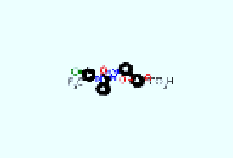 O=C(O)Oc1cccc(-c2cccc(NN=C3C(=O)N(c4ccc(Cl)c(C(F)(F)F)c4)c4ccccc43)c2O)c1